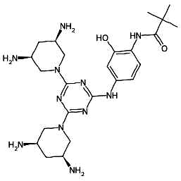 CC(C)(C)C(=O)Nc1ccc(Nc2nc(N3C[C@H](N)C[C@H](N)C3)nc(N3C[C@H](N)C[C@H](N)C3)n2)cc1O